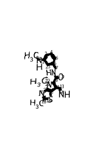 CNc1cccc(CNC(=O)c2c(C=N)c3sc(C)nc3n2C)c1